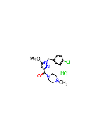 COc1cc(C(=O)N2CCN(C)CC2)nn1Cc1ccc(Cl)cc1.Cl